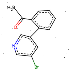 BC(=O)c1ccccc1-c1cncc(Br)c1